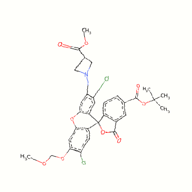 COCOc1cc2c(cc1Cl)C1(OC(=O)c3cc(C(=O)OC(C)(C)C)ccc31)c1cc(Cl)c(N3CC(C(=O)OC)C3)cc1O2